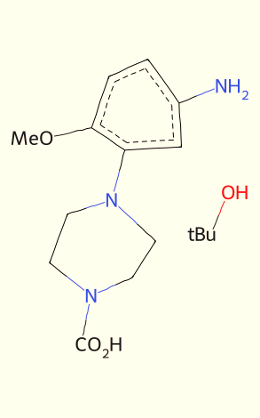 CC(C)(C)O.COc1ccc(N)cc1N1CCN(C(=O)O)CC1